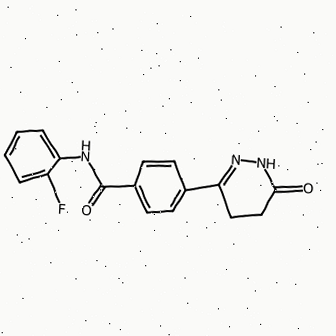 O=C1CCC(c2ccc(C(=O)Nc3ccccc3F)cc2)=NN1